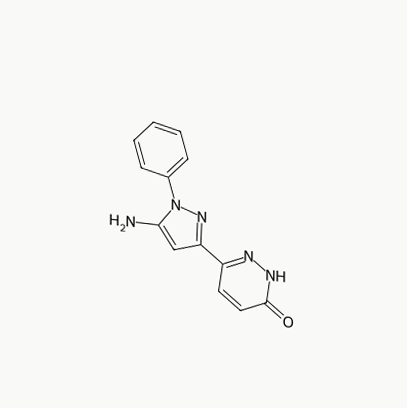 Nc1cc(-c2ccc(=O)[nH]n2)nn1-c1ccccc1